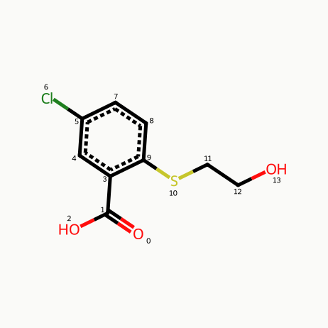 O=C(O)c1cc(Cl)ccc1SCCO